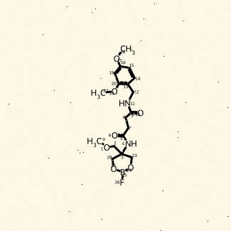 COCC1(NC(=O)CCC(=O)NCc2ccc(OC)cc2OC)COB(F)OC1